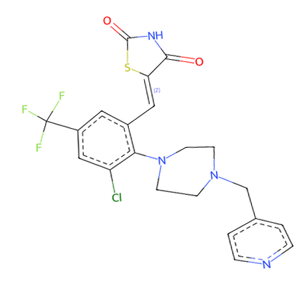 O=C1NC(=O)/C(=C/c2cc(C(F)(F)F)cc(Cl)c2N2CCN(Cc3ccncc3)CC2)S1